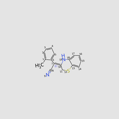 Cc1ccccc1/C(C#N)=C1/CSc2ccccc2N1